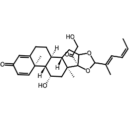 C/C=C\C=C(/C)C1OC2C[C@H]3[C@@H]4CCC5=CC(=O)C=C[C@]5(C)[C@H]4[C@@H](O)C[C@]3(C)[C@]2(C(=O)CO)O1